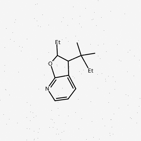 CCC1Oc2ncccc2C1C(C)(C)CC